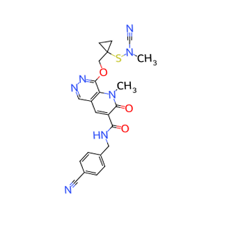 CN(C#N)SC1(COc2nncc3cc(C(=O)NCc4ccc(C#N)cc4)c(=O)n(C)c23)CC1